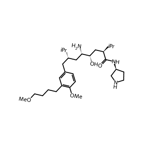 COCCCCc1cc(C[C@@H](C[C@H](N)[C@@H](O)C[C@H](C(=O)N[C@H]2CCNC2)C(C)C)C(C)C)ccc1OC